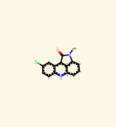 CCCN1C(=O)c2c3cc(Cl)ccc3nc3cccc1c23